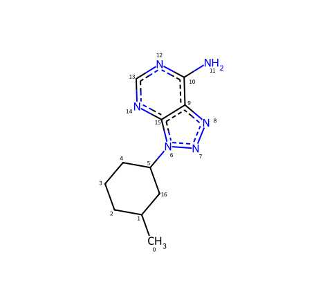 CC1CCCC(n2nnc3c(N)ncnc32)C1